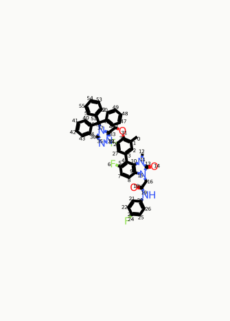 Cc1cc(-c2c(F)ccc3c2n(C)c(=O)n3CC(=O)Nc2ccc(F)cc2)cc(F)c1OCc1nncn1C(c1ccccc1)(c1ccccc1)c1ccccc1